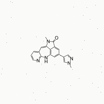 CN1C(=O)c2cc(-c3cnn(C)c3)cc3c2C1=Cc1cccnc1N3